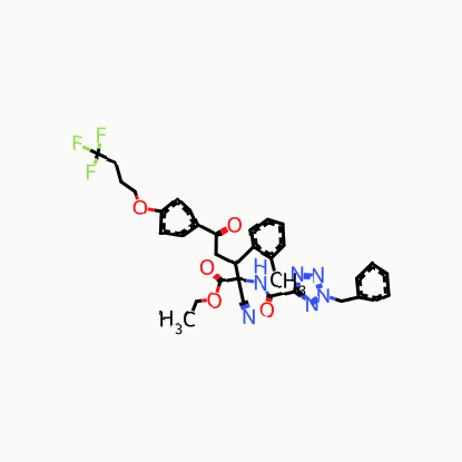 CCOC(=O)C(C#N)(NC(=O)c1nnn(Cc2ccccc2)n1)C(CC(=O)c1ccc(OCCCC(F)(F)F)cc1)c1ccccc1C